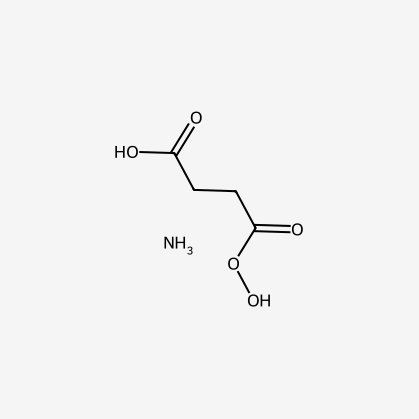 N.O=C(O)CCC(=O)OO